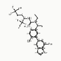 CCN(C(=O)NC(CCC(F)(F)F)C(F)(F)F)C(C)c1cc(-c2cc(F)c3nccn3c2)c(Cl)cn1